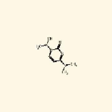 CN(C)c1ccn(N(C)C)c(=O)n1